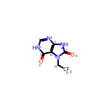 O=c1[nH]cnc2[nH]c(=O)n(CC(F)(F)F)c12